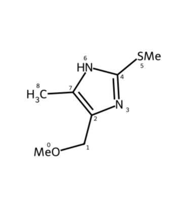 COCc1nc(SC)[nH]c1C